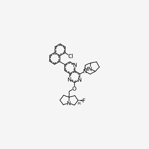 F[C@H]1CN2CCCC2(COc2nc(N3CC4CCC(C3)N4)c3ncc(-c4cccc5cccc(Cl)c45)cc3n2)C1